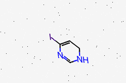 IC1=CCNC=N1